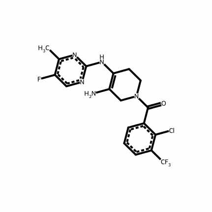 Cc1nc(NC2=C(N)CN(C(=O)c3cccc(C(F)(F)F)c3Cl)CC2)ncc1F